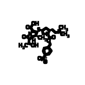 C[C@@H](O)[C@H]1C(=O)N2C(C(=O)O)=C(S[C@H]3C[C@@H](CCN(C)C)N(C(=O)OCc4ccc([N+](=O)[O-])cc4)C3)[C@H](C)[C@H]12